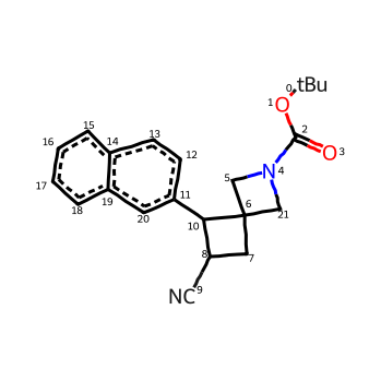 CC(C)(C)OC(=O)N1CC2(CC(C#N)C2c2ccc3ccccc3c2)C1